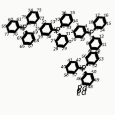 [Pd].[Pd].c1ccc(P(c2ccccc2)c2ccccc2)cc1.c1ccc(P(c2ccccc2)c2ccccc2)cc1.c1ccc(P(c2ccccc2)c2ccccc2)cc1.c1ccc(P(c2ccccc2)c2ccccc2)cc1